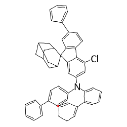 Clc1cc(N(c2ccc(-c3ccccc3)cc2)c2ccccc2C2=CCCC=C2)cc2c1-c1ccc(-c3ccccc3)cc1C21C2CC3CC(C2)CC1C3